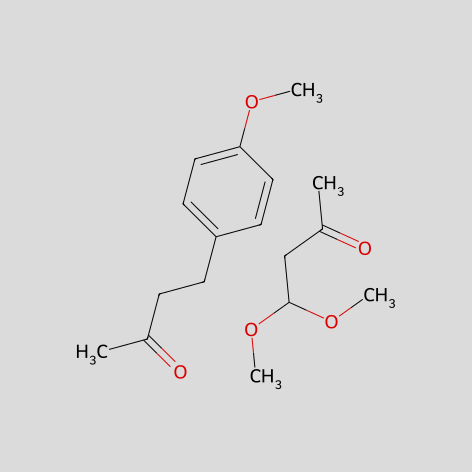 COC(CC(C)=O)OC.COc1ccc(CCC(C)=O)cc1